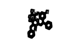 CC(C)C(NC(=O)C(Cc1ccccc1)NC(=O)CC(c1ccccc1)c1cccc(Cl)c1)C(=O)C(F)(F)F